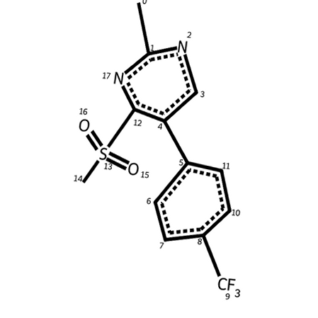 Cc1ncc(-c2ccc(C(F)(F)F)cc2)c(S(C)(=O)=O)n1